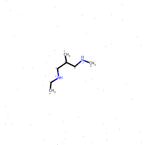 CCNCC(C)CNC